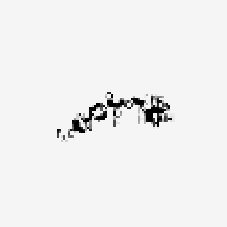 CC(COCC(O)C(=O)N1CCN(c2ncc(C(F)(F)F)cn2)CC1)Nc1cn[nH]c(=O)c1C(F)(F)F